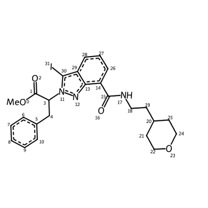 COC(=O)C(Cc1ccccc1)n1nc2c(C(=O)NCCC3CCOCC3)cccc2c1I